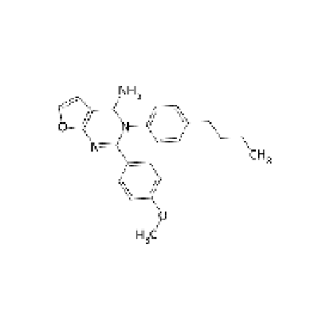 CCCCc1ccc(N2C(c3ccc(OC)cc3)=Nc3occc3C2N)cc1